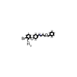 Cc1c(Br)cccc1OC1CCC(/C=C/CCOCc2ccccc2)CC1